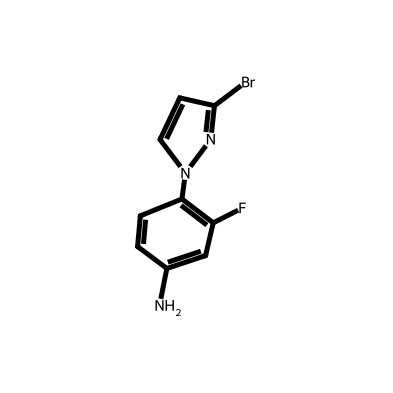 Nc1ccc(-n2ccc(Br)n2)c(F)c1